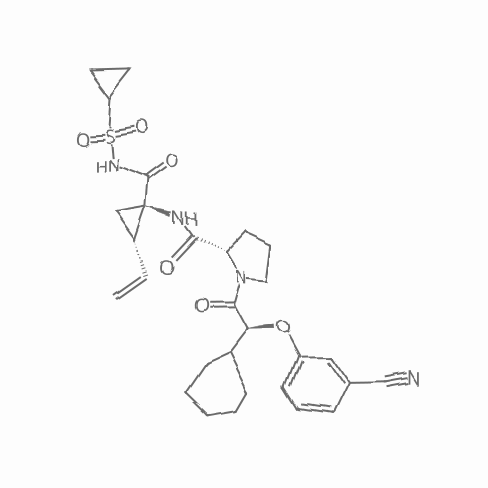 C=C[C@@H]1C[C@]1(NC(=O)[C@@H]1CCCN1C(=O)[C@@H](Oc1cccc(C#N)c1)C1CCCCC1)C(=O)NS(=O)(=O)C1CC1